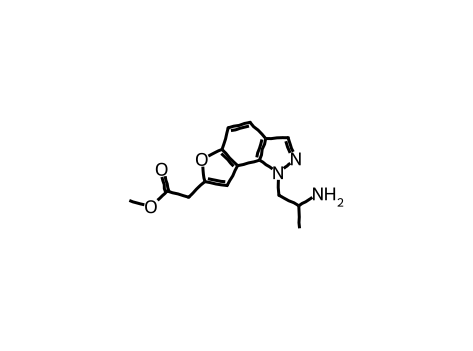 COC(=O)Cc1cc2c(ccc3cnn(CC(C)N)c32)o1